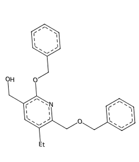 CCc1cc(CO)c(OCc2ccccc2)nc1COCc1ccccc1